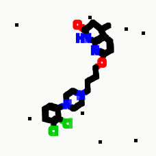 CC1CC(=O)Nc2nc(OCCCCN3CCN(c4cccc(Cl)c4Cl)CC3)ccc21